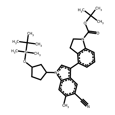 Cc1cc2c(cc1C#N)c(-c1cccc3c1CCN3C(=O)OC(C)(C)C)cn2C1CCC(O[Si](C)(C)C(C)(C)C)C1